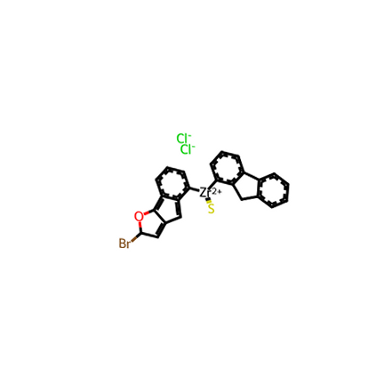 [Cl-].[Cl-].[S]=[Zr+2]([c]1cccc2c1Cc1ccccc1-2)[c]1cccc2c1=CC1=CC(Br)OC=21